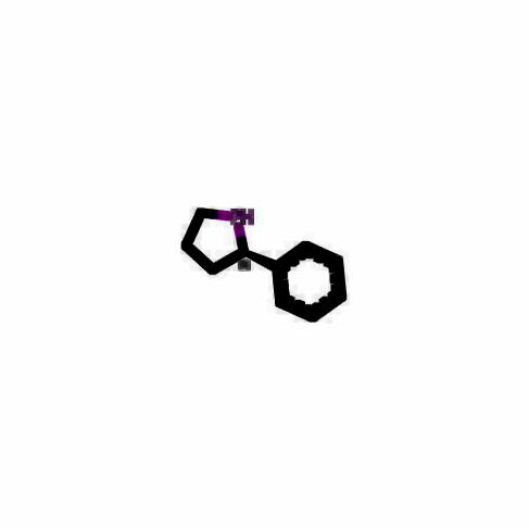 c1ccc([C@H]2CCCP2)cc1